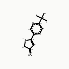 CC(C)(C)c1ccc(C2=CC(=S)CS2)cc1